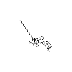 CCCCCCCCCCCCCCCCN(C(=O)c1cc(OCC(C[S+]([O-])CC)[S+]([O-])CC)c2ccccc2c1O)C(C)C#N